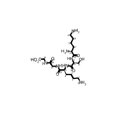 NCCCC[C@H](NC(=O)[C@H](CO)NC(=O)[C@@H](N)CCCCN)C(=O)NCC(=O)NCC(=O)O